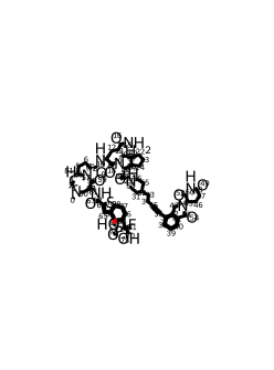 CN1CC[C@H]2CC[C@@H](C(=O)NC(CCC(N)=O)C(=O)N3C[C@@H]4CCC[C@@H]4[C@H]3C(=O)N3CCC(CCC#Cc4cccc5c4CN(C4CCC(=O)NC4=O)C5=O)CC3)N2C(=O)[C@@H](NC(=O)c2cc3cc(C(F)(F)P(=O)(O)O)ccc3s2)C1